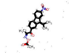 CC(=O)O/N=C(/C)C(=O)c1ccc2c(c1)C(=C(C)C)c1cc([N+](=O)[O-])ccc1-2